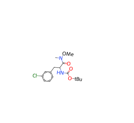 CON(C)C(=O)C(Cc1cccc(Cl)c1)NC(=O)OC(C)(C)C